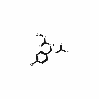 CCC(=O)C[C@@H](NC(=O)OC(C)(C)C)c1ccc(Cl)cc1